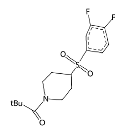 CC(C)(C)C(=O)N1CCC(S(=O)(=O)c2ccc(F)c(F)c2)CC1